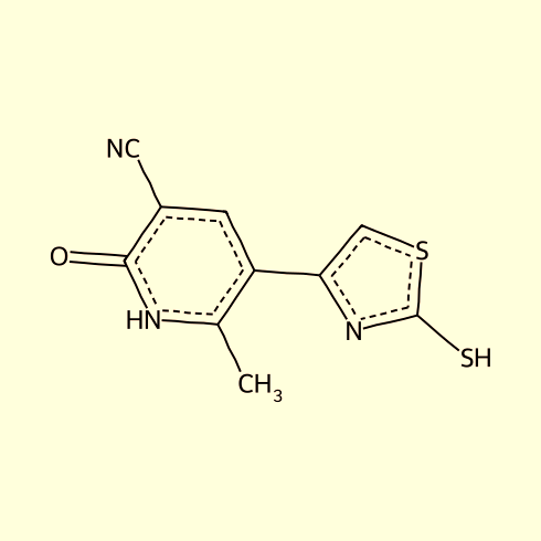 Cc1[nH]c(=O)c(C#N)cc1-c1csc(S)n1